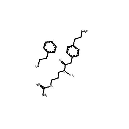 N=C(N)NCCC[C@H](N)C(=O)Oc1ccc(CCC(=O)O)cc1.NCCc1ccccc1